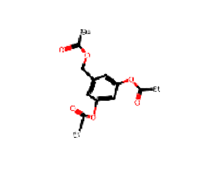 CCC(=O)Oc1cc(COC(=O)C(C)CC)cc(OC(=O)CC)c1